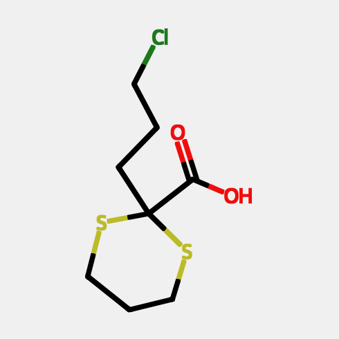 O=C(O)C1(CCCCl)SCCCS1